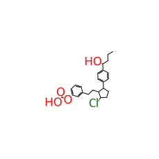 CCCC(O)c1ccc(C2CCC(Cl)C2CCc2cccc(OC(=O)O)c2)cc1